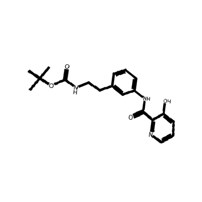 CC(C)(C)OC(=O)NCCc1cccc(NC(=O)c2ncccc2O)c1